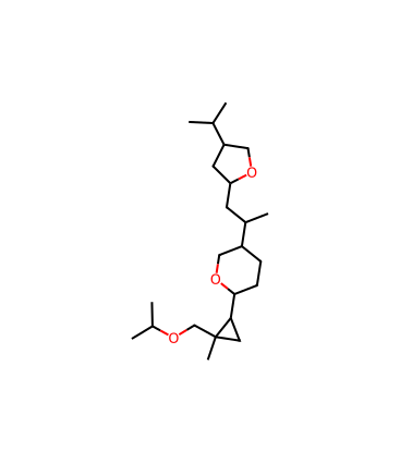 CC(C)OCC1(C)CC1C1CCC(C(C)CC2CC(C(C)C)CO2)CO1